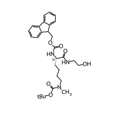 CN(CCCC[C@H](NC(=O)OCC1c2ccccc2-c2ccccc21)C(=O)NCCO)C(=O)OC(C)(C)C